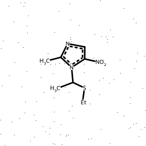 CCSC(C)n1c([N+](=O)[O-])cnc1C